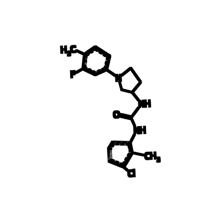 Cc1ccc(N2CCC(NC(=O)Nc3cccc(Cl)c3C)C2)cc1F